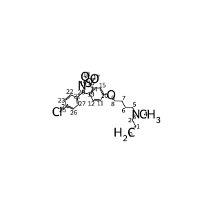 C=CCN(C)CCCCOc1ccc2c(c1)S(=O)(=O)N=C2c1ccc(Cl)cc1